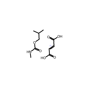 CNC(=O)OCC(C)C.O=C(O)/C=C/C(=O)O